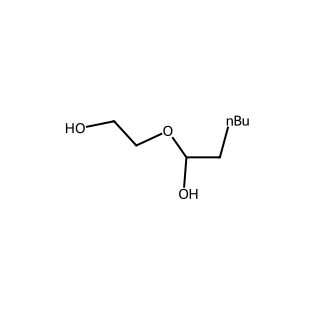 CCCCCC(O)OCCO